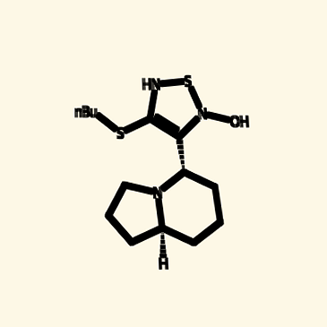 CCCCSC1=C([C@@H]2CCC[C@H]3CCCN32)N(O)SN1